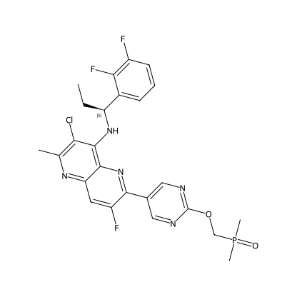 CC[C@H](Nc1c(Cl)c(C)nc2cc(F)c(-c3cnc(OCP(C)(C)=O)nc3)nc12)c1cccc(F)c1F